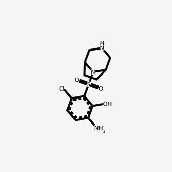 Nc1ccc(Cl)c(S(=O)(=O)N2C3CCC2CNC3)c1O